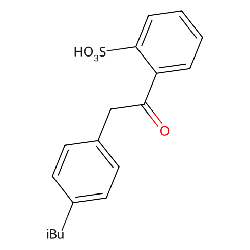 CCC(C)c1ccc(CC(=O)c2ccccc2S(=O)(=O)O)cc1